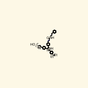 CCN(CC)c1ccc(-c2nc(-c3ccc(C4=NOC(C(=O)O)C4)cc3)c(-c3ccc(/C=C/C(=O)NCCCc4ccccc4)cc3)[nH]2)cc1